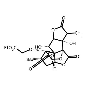 CCCC[C@@H]1CC2OC(=O)[C@@]34O[C@H]5OC(=O)[C@@H](OCC(=O)OCC)C15C23[C@H](O)C1OC(=O)C(C)[C@]14O